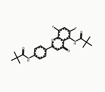 CC(C)(C)C(=O)Nc1ccc(-c2cc(=O)c3c(NC(=O)C(C)(C)C)c(F)cc(F)c3o2)cc1